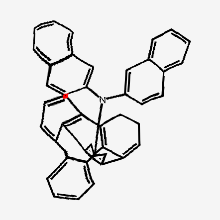 C1=C2C3=C(CC1)c1cccc(c1-c1cc(N(c4ccc5ccccc5c4)c4ccc5ccccc5c4)ccc12)-c1ccccc13